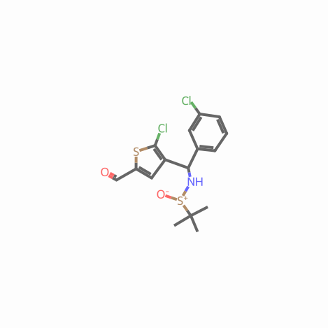 CC(C)(C)[S+]([O-])NC(c1cccc(Cl)c1)c1cc(C=O)sc1Cl